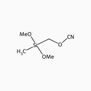 CO[Si](C)(COC#N)OC